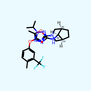 Cc1nnc(N2C[C@H]3CC[C@@H](C2)[C@H]3Nc2nc(Oc3ccc(C)c(C(F)(F)F)c3)n(C(C)C)n2)o1